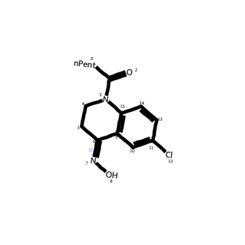 CCCCCC(=O)N1CC/C(=N/O)c2cc(Cl)ccc21